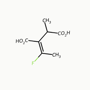 CC(F)=C(C(=O)O)C(C)C(=O)O